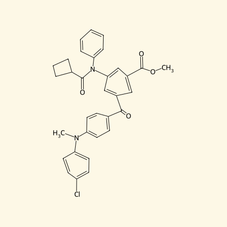 COC(=O)c1cc(C(=O)c2ccc(N(C)c3ccc(Cl)cc3)cc2)cc(N(C(=O)C2CCC2)c2ccccc2)c1